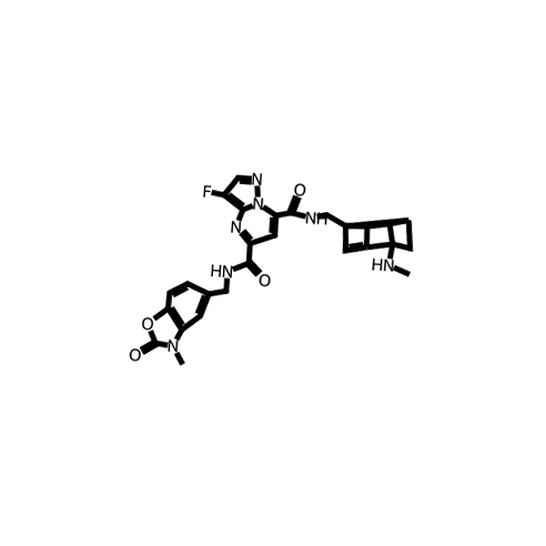 CNC12CC3C1C1C2=CC31CNC(=O)c1cc(C(=O)NCc2ccc3oc(=O)n(C)c3c2)nc2c(F)cnn12